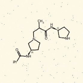 CC(C)C(=O)N[C@@H]1CCN(CC(C)C(=O)N[C@H]2CCNC2)C1